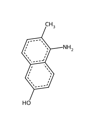 Cc1ccc2cc(O)ccc2c1N